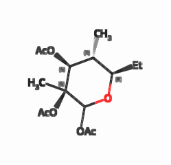 CC[C@H]1OC(OC(C)=O)[C@@](C)(OC(C)=O)[C@@H](OC(C)=O)[C@@H]1C